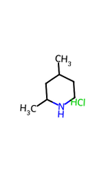 CC1CCNC(C)C1.Cl